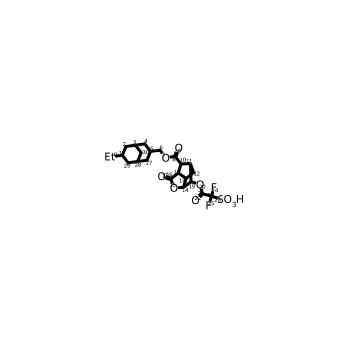 CCC1CC2CC(COC(=O)C3C4CC5C(OC(=O)C53)C4OC(=O)C(F)(F)S(=O)(=O)O)CC(C1)C2